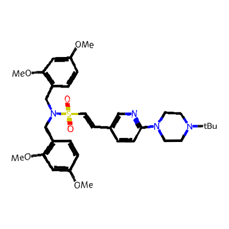 COc1ccc(CN(Cc2ccc(OC)cc2OC)S(=O)(=O)C=Cc2ccc(N3CCN(C(C)(C)C)CC3)nc2)c(OC)c1